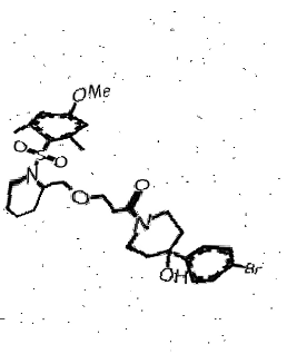 COc1cc(C)c(S(=O)(=O)N2CCCCC2COCCC(=O)N2CCC(O)(c3ccc(Br)cc3)CC2)c(C)c1